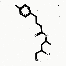 CC(CC(S)CN)NC(=O)CCCc1ccc(I)cc1